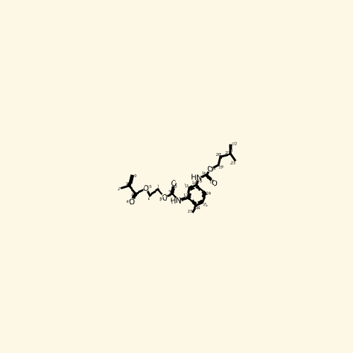 C=C(C)C(=O)OCCOC(=O)Nc1cc(NC(=O)OCCC(C)C)ccc1C